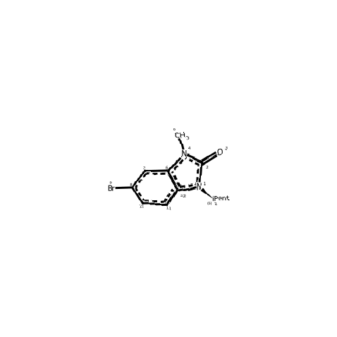 CCC[C@H](C)n1c(=O)n(C)c2cc(Br)ccc21